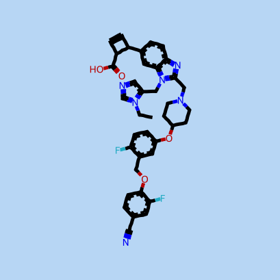 CCn1cncc1Cn1c(CN2CCC(Oc3ccc(F)c(COc4ccc(C#N)cc4F)c3)CC2)nc2ccc(C3C#CC3C(=O)O)cc21